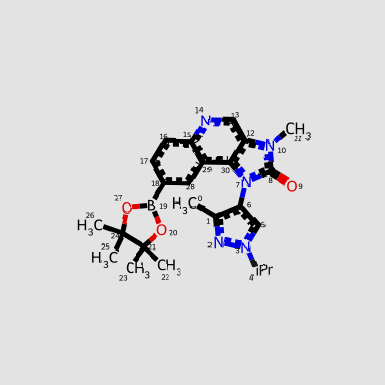 Cc1nn(C(C)C)cc1-n1c(=O)n(C)c2cnc3ccc(B4OC(C)(C)C(C)(C)O4)cc3c21